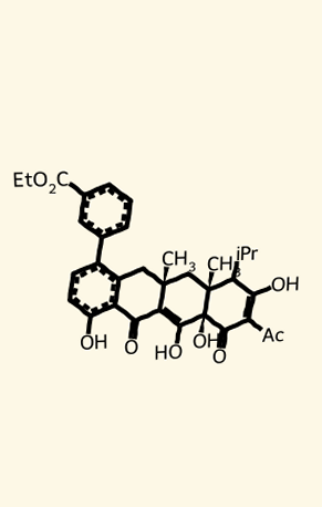 CCOC(=O)c1cccc(-c2ccc(O)c3c2C[C@]2(C)C[C@]4(C)C(C(C)C)C(O)=C(C(C)=O)C(=O)[C@]4(O)C(O)=C2C3=O)c1